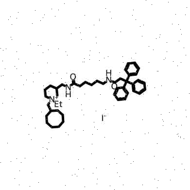 CC[N+]1(CC2CCCCCCC2)CCCC(CNC(=O)CCCCCNC(=O)CC(c2ccccc2)(c2ccccc2)c2ccccc2)C1.[I-]